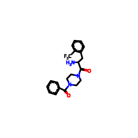 NC(Cc1ccccc1C(F)(F)F)C(=O)N1CCN(C(=O)c2ccccc2)CC1